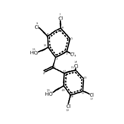 C=C(c1c(Cl)cc(Cl)c(Cl)c1O)c1c(Cl)cc(Cl)c(Cl)c1O